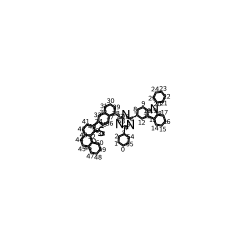 c1ccc(-c2nc(-c3ccc4c(c3)c3ccccc3n4-c3ccccc3)nc(-c3cccc4cc5c(cc34)sc3c5ccc4ccc5ccccc5c43)n2)cc1